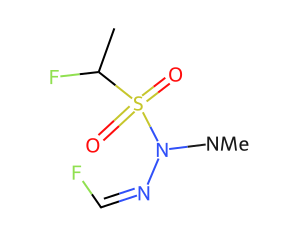 CNN(/N=C\F)S(=O)(=O)C(C)F